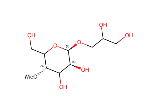 CO[C@@H]1C(CO)O[C@@H](OCC(O)CO)[C@@H](O)C1O